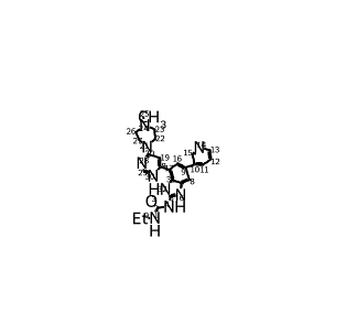 CCNC(=O)Nc1nc2cc(-c3cccnc3)cc(-c3cc(N4CCN(C)CC4)ncn3)c2[nH]1